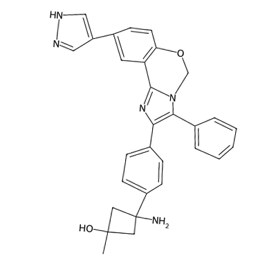 CC1(O)CC(N)(c2ccc(-c3nc4n(c3-c3ccccc3)COc3ccc(-c5cn[nH]c5)cc3-4)cc2)C1